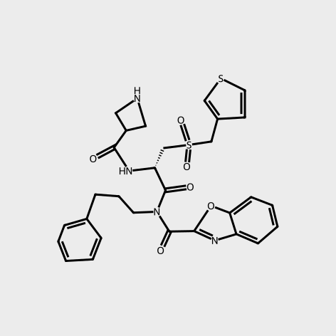 O=C(N[C@H](CS(=O)(=O)Cc1ccsc1)C(=O)N(CCCc1ccccc1)C(=O)c1nc2ccccc2o1)C1CNC1